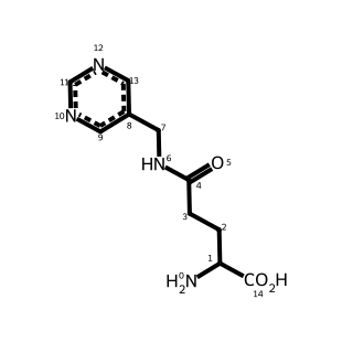 NC(CCC(=O)NCc1cncnc1)C(=O)O